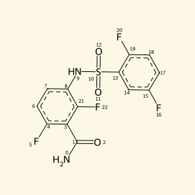 NC(=O)c1c(F)ccc(NS(=O)(=O)c2cc(F)ccc2F)c1F